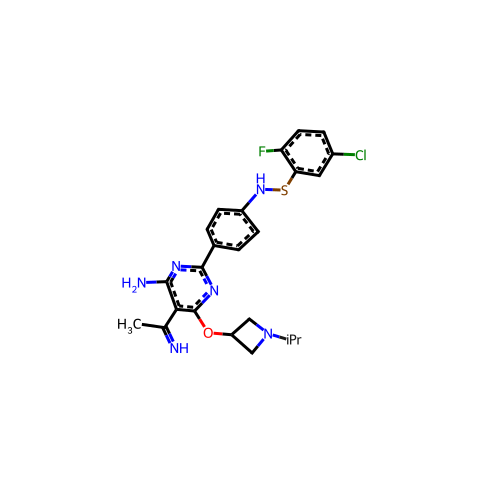 CC(=N)c1c(N)nc(-c2ccc(NSc3cc(Cl)ccc3F)cc2)nc1OC1CN(C(C)C)C1